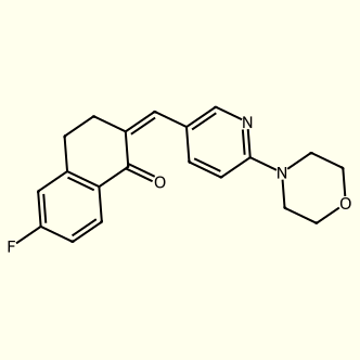 O=C1C(=Cc2ccc(N3CCOCC3)nc2)CCc2cc(F)ccc21